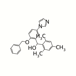 Cc1cc(C)c(C(O)c2cc(-n3ccnc3)ccc2OCc2ccccc2)c(C)c1